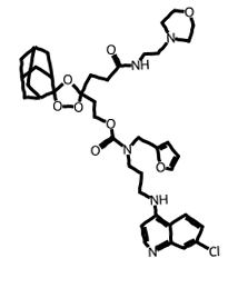 O=C(CCC1(CCOC(=O)N(CCCNc2ccnc3cc(Cl)ccc23)Cc2ccco2)OOC2(O1)C1CC3CC(C1)CC2C3)NCCN1CCOCC1